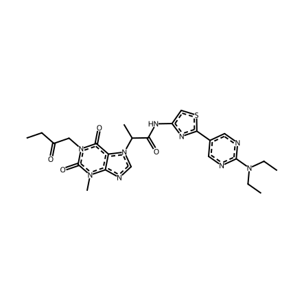 CCC(=O)Cn1c(=O)c2c(ncn2C(C)C(=O)Nc2csc(-c3cnc(N(CC)CC)nc3)n2)n(C)c1=O